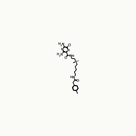 Cc1ccc(CC(=O)NCCCCC[N+](C)(C)CCNC(=O)c2nc(Cl)c(N)nc2N)cc1